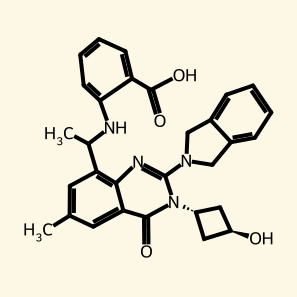 Cc1cc(C(C)Nc2ccccc2C(=O)O)c2nc(N3Cc4ccccc4C3)n([C@H]3C[C@H](O)C3)c(=O)c2c1